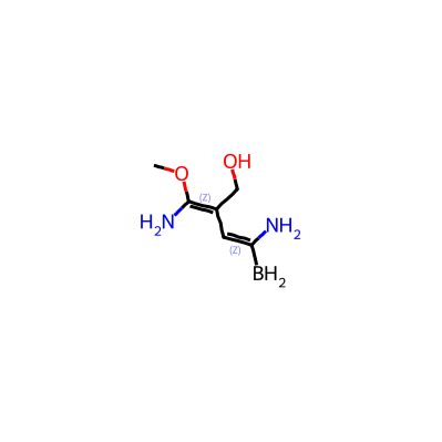 B/C(N)=C/C(CO)=C(\N)OC